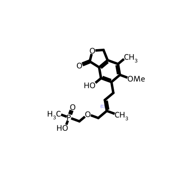 COc1c(C)c2c(c(O)c1C/C=C(\C)COCP(C)(=O)O)C(=O)OC2